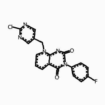 O=c1nc2n(Cc3cnc(Cl)nc3)cccc-2c(=O)n1-c1ccc(F)cc1